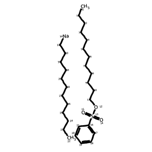 CCCCCCCCCCCCOS(=O)(=O)c1ccccc1.CCCCCCCCCCC[CH2][Na]